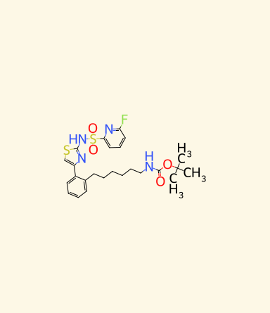 CC(C)(C)OC(=O)NCCCCCCc1ccccc1-c1csc(NS(=O)(=O)c2cccc(F)n2)n1